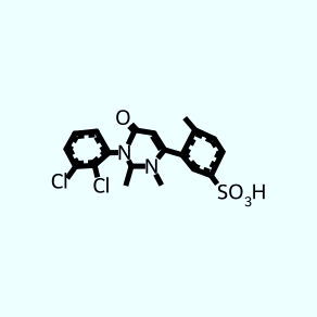 Cc1ccc(S(=O)(=O)O)cc1C1=CC(=O)N(c2cccc(Cl)c2Cl)C(C)N1C